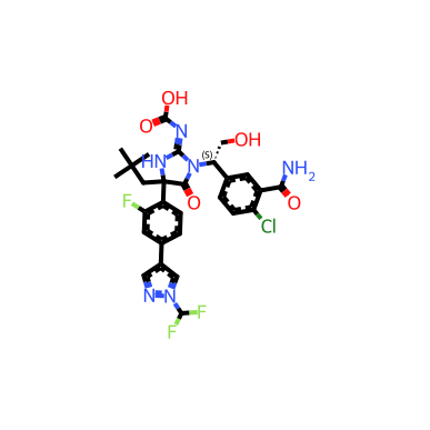 CC(C)(C)CC1(c2ccc(-c3cnn(C(F)F)c3)cc2F)NC(=NC(=O)O)N([C@H](CO)c2ccc(Cl)c(C(N)=O)c2)C1=O